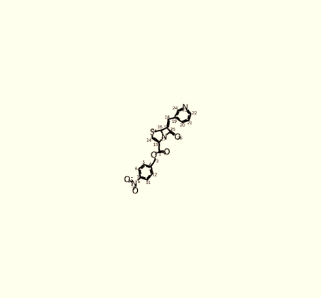 O=C(OCc1ccc([N+](=O)[O-])cc1)C1=CSC2C(=Cc3cccnc3)C(=O)N12